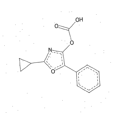 O=C(O)Oc1nc(C2CC2)oc1-c1ccccc1